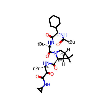 CCC[C@H](NC(=O)[C@@H]1[C@@H]2[C@H](CN1C(=O)[C@@H](NC(=O)[C@@H](NC(=O)C(C)(C)C)C1CCCCC1)C(C)(C)C)C2(C)C)C(=O)C(=O)NC1CC1